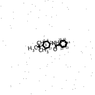 CC(C)(C)[C@H]1CC[C@H](NC(=O)c2ccccc2)CC1